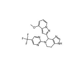 COc1cccn2nc(C3c4nc[nH]c4CCN3c3ncc(C(F)(F)F)cn3)cc12